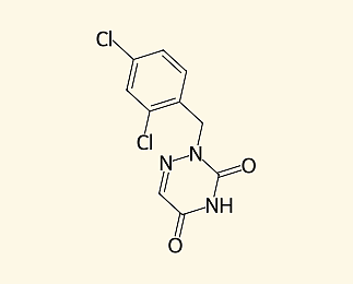 O=c1cnn(Cc2ccc(Cl)cc2Cl)c(=O)[nH]1